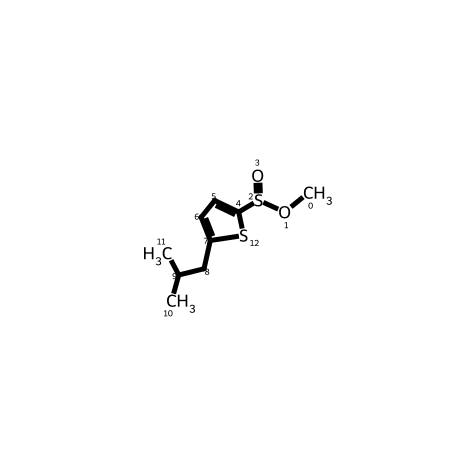 COS(=O)c1ccc(CC(C)C)s1